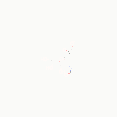 COCC(=O)C[C@H]1O[C@H]([C@H](O)CO)[C@H](O)[C@@H]1NC(C)=O